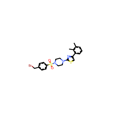 Cc1cccc(-c2csc(N3CCN(S(=O)(=O)c4ccc(CBr)cc4)CC3)n2)c1C